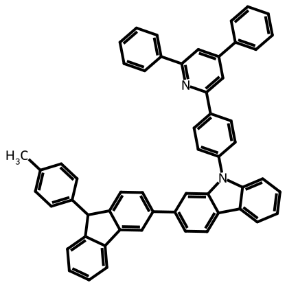 Cc1ccc(C2c3ccccc3-c3cc(-c4ccc5c6ccccc6n(-c6ccc(-c7cc(-c8ccccc8)cc(-c8ccccc8)n7)cc6)c5c4)ccc32)cc1